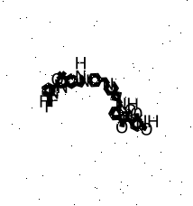 CC1(C)OC(c2cccc(C(F)(F)F)n2)=Nc2cc3c(cc21)NN(C1CCC(CN2CCC4(CC2)CC(Nc2cccc5c2C(=O)N(C2CCC(=O)NC2=O)C5=O)C4)CC1)C3